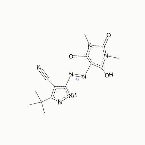 Cn1c(O)c(/N=N/c2[nH]nc(C(C)(C)C)c2C#N)c(=O)n(C)c1=O